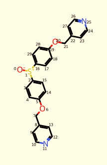 [O-][S+](c1ccc(OCc2ccncc2)cc1)c1ccc(OCc2ccncc2)cc1